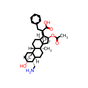 CC(=O)O[C@H]1C[C@@]2(C)[C@@H](CC[C@H]3[C@@]4(C)CC[C@@H](O)[C@@H](CN)[C@@H]4CC[C@@]32C)/C1=C(\Cc1ccccc1)C(=O)O